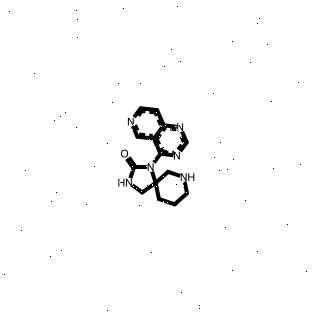 O=C1NCC2(CCCNC2)N1c1ncnc2ccncc12